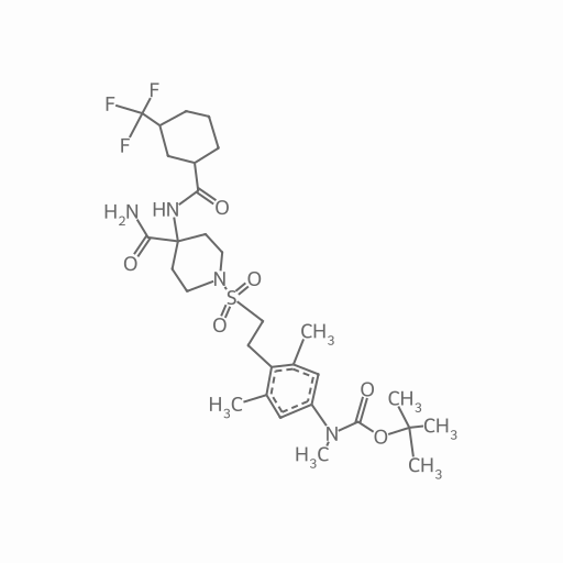 Cc1cc(N(C)C(=O)OC(C)(C)C)cc(C)c1CCS(=O)(=O)N1CCC(NC(=O)C2CCCC(C(F)(F)F)C2)(C(N)=O)CC1